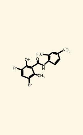 Cc1c(Br)cc(C(C)C)c(O)c1C(=O)Nc1ccc([N+](=O)[O-])cc1C(F)(F)F